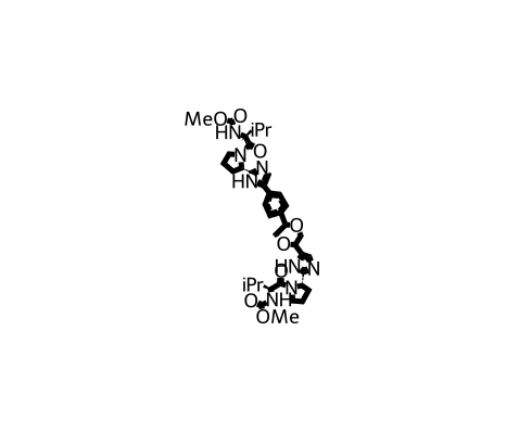 COC(=O)N[C@H](C(=O)N1CCC[C@H]1c1ncc(-c2ccc(C3COC(c4cnc([C@@H]5CCCN5C(=O)[C@@H](NC(=O)OC)C(C)C)[nH]4)CO3)cc2)[nH]1)C(C)C